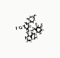 CN1CCN(c2nccc(CSc3ncccc3C(=O)Nc3ccc(F)c(F)c3F)n2)CC1.Cl